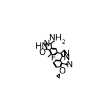 Cc1cc(-c2cnn(C)c2-c2c(F)ccc(OC3CC3)c2C#N)cc2c(CN)n[nH]c(=O)c12